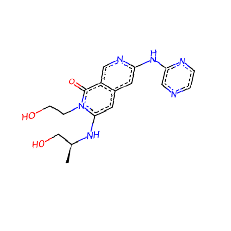 C[C@@H](CO)Nc1cc2cc(Nc3cnccn3)ncc2c(=O)n1CCO